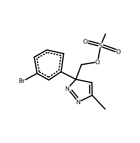 CC1=CC(COS(C)(=O)=O)(c2cccc(Br)c2)N=N1